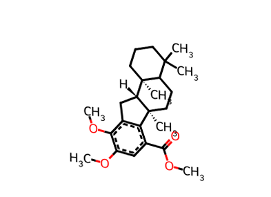 COC(=O)c1cc(OC)c(OC)c2c1[C@]1(C)CCC3C(C)(C)CCC[C@]3(C)[C@H]1C2